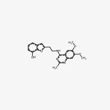 COc1cc2nc(C)nc(NCCc3cc4cccc(O)c4o3)c2cc1OC